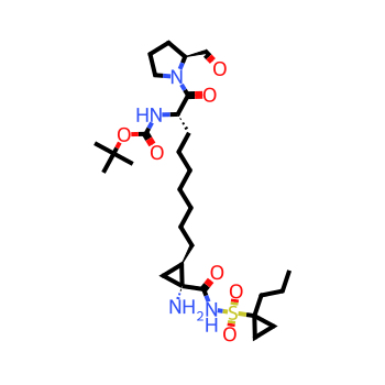 CCCC1(S(=O)(=O)NC(=O)[C@@]2(N)C[C@H]2CCCCCCC[C@H](NC(=O)OC(C)(C)C)C(=O)N2CCC[C@H]2C=O)CC1